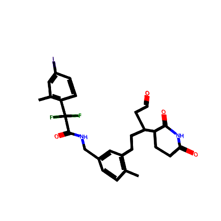 Cc1ccc(CNC(=O)C(F)(F)c2ccc(I)cc2C)cc1CCC(CC=O)C1CCC(=O)NC1=O